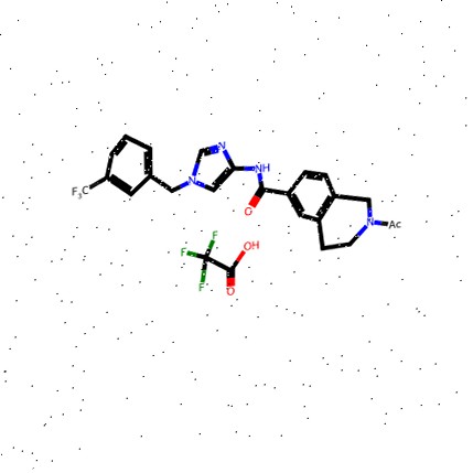 CC(=O)N1CCc2cc(C(=O)Nc3cn(Cc4cccc(C(F)(F)F)c4)cn3)ccc2C1.O=C(O)C(F)(F)F